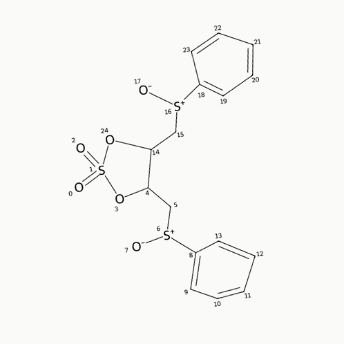 O=S1(=O)OC(C[S+]([O-])c2ccccc2)C(C[S+]([O-])c2ccccc2)O1